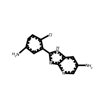 Nc1ccc(Cl)c(-c2nc3ncc(N)cc3[nH]2)c1